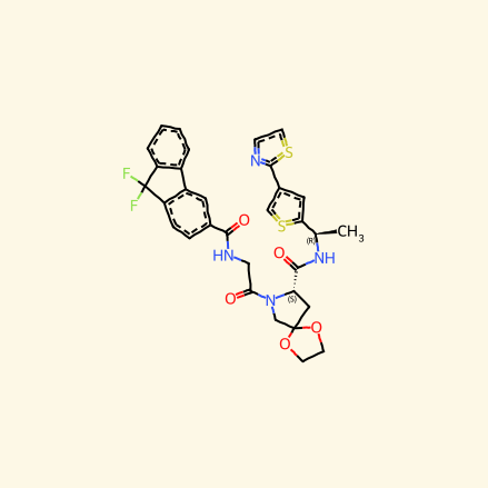 C[C@@H](NC(=O)[C@@H]1CC2(CN1C(=O)CNC(=O)c1ccc3c(c1)-c1ccccc1C3(F)F)OCCO2)c1cc(-c2nccs2)cs1